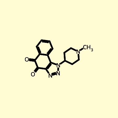 CN1CCC(n2nnc3c2-c2ccccc2C(=O)C3=O)CC1